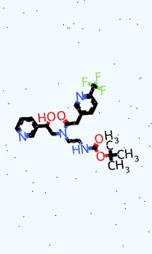 CC(C)(C)OC(=O)NCCN(CC(O)c1cccnc1)C(=O)Cc1ccc(C(F)(F)F)nc1